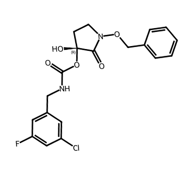 O=C(NCc1cc(F)cc(Cl)c1)O[C@]1(O)CCN(OCc2ccccc2)C1=O